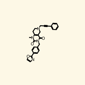 Cn1c2c(c(=O)n(Cc3ccc(-c4ncco4)cc3)c1=O)CN(CC#Cc1ccccc1)CC2